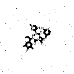 CCC(NC(=O)N1C(=O)[C@H](Cc2ccnc(N)c2)[C@H]1C(=O)N(C)c1ccn(C)n1)c1cc(C)c(F)c(C)c1